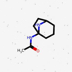 CC(=O)NC12CCCC(CC1)N2